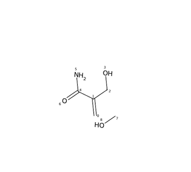 C=C(CO)C(N)=O.CO